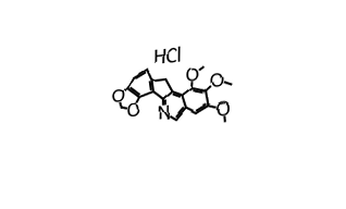 COc1cc2cnc3c(c2c(OC)c1OC)Cc1ccc2c(c1-3)OCO2.Cl